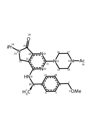 COCc1ccc([C@@H](C)Nc2nc(N3CCN(C(C)=O)CC3)nc3c2CN(C(C)C)C3=O)cc1